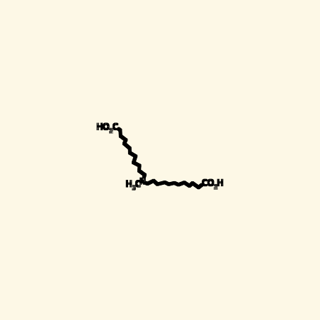 CN(CCCCCCCCCCCC(=O)O)CCCCCCCCCCCC(=O)O